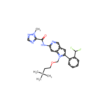 Cn1ncnc1C(=O)Nc1cc2c(cn1)cc(-c1ccccc1C(F)F)n2COCC[Si](C)(C)C